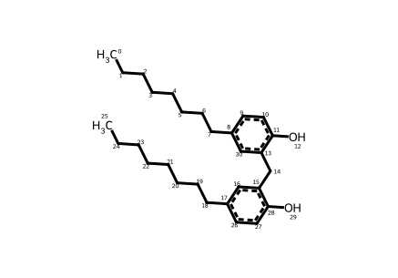 CCCCCCCCc1ccc(O)c(Cc2cc(CCCCCCCC)ccc2O)c1